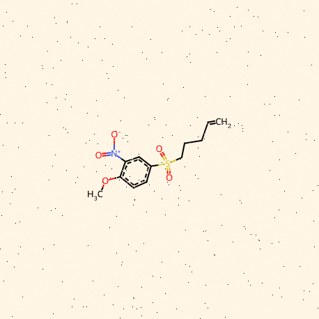 C=CCCCS(=O)(=O)c1ccc(OC)c([N+](=O)[O-])c1